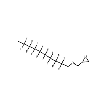 CC(F)(F)C(F)(F)C(F)(F)C(F)(F)C(F)(F)C(F)(F)C(F)(F)C(F)(F)COCC1CO1